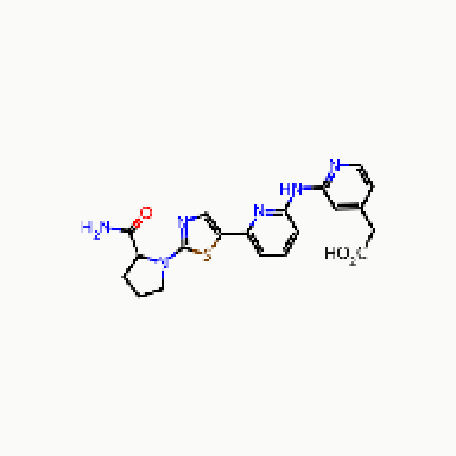 NC(=O)[C@@H]1CCCN1c1ncc(-c2cccc(Nc3cc(CC(=O)O)ccn3)n2)s1